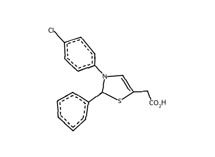 O=C(O)CC1=CN(c2ccc(Cl)cc2)C(c2ccccc2)S1